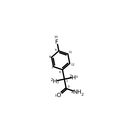 [2H]C([2H])(C(N)=O)c1ccc(F)cc1